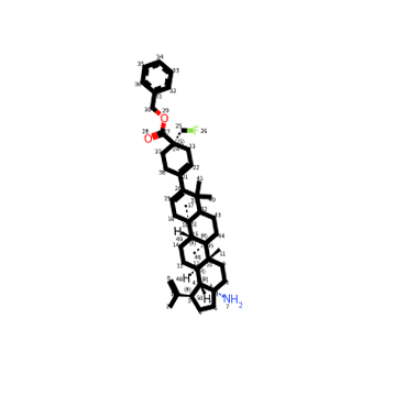 C=C(C)[C@@H]1CC[C@]2(N)CC[C@]3(C)[C@H](CC[C@@H]4[C@@]5(C)CC=C(C6=CC[C@](CF)(C(=O)OCc7ccccc7)CC6)C(C)(C)C5CC[C@]43C)[C@@H]12